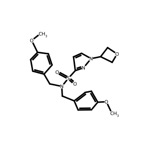 COc1ccc(CN(Cc2ccc(OC)cc2)S(=O)(=O)c2ccn(C3COC3)n2)cc1